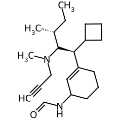 C#CCN(C)C([C@H](C1=CC(NC=O)CCC1)C1CCC1)[C@H](C)CC